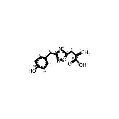 C=C(Cc1nc(Cc2ccc(O)cc2)no1)C(=O)O